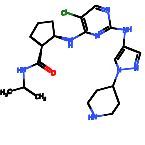 CC(C)NC(=O)[C@H]1CCC[C@H]1Nc1nc(Nc2cnn(C3CCNCC3)c2)ncc1Cl